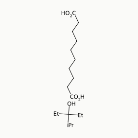 CCC(O)(CC)C(C)C.O=C(O)CCCCCCCCC(=O)O